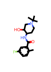 Cc1ccc(F)cc1C(=O)NC1CCN(C(C)(C)C)CC1O